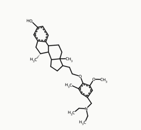 CCN(CC)Cc1cc(C)c(OCCC2CCC3C4C(CCC23C)c2ccc(O)cc2C[C@H]4C)c(OC)c1